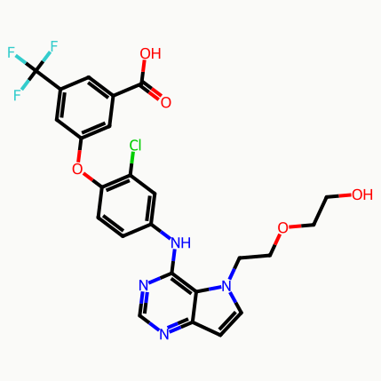 O=C(O)c1cc(Oc2ccc(Nc3ncnc4ccn(CCOCCO)c34)cc2Cl)cc(C(F)(F)F)c1